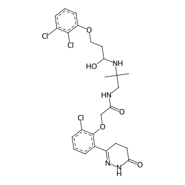 CC(C)(CNC(=O)COc1c(Cl)cccc1C1=NNC(=O)CC1)NC(O)CCOc1cccc(Cl)c1Cl